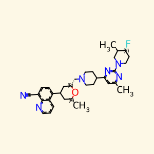 Cc1cc(C2CCN(C[C@H]3CC(c4ccc(C#N)c5ncccc45)C[C@@H](C)O3)CC2)nc(N2CC[C@@H](F)C(C)C2)n1